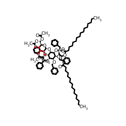 CCCCCCCCCCCCCCCC(=O)OC[C@@H](CP(=O)(Cc1ccccc1)O[C@H]1[C@@H](OCc2ccccc2)[C@H](OCc2ccccc2)[C@@H](OCc2ccccc2)[C@H](OCc2ccccc2)[C@H]1O[C@H]1O[C@H](COC(C)=O)[C@@H](OC(C)=O)[C@H](OC(C)=O)[C@@H]1OC(C)=O)OC(=O)CCCCCCCCCCCCCCC